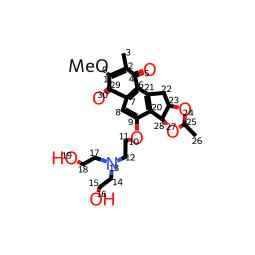 COC1=C(C)C(=O)c2c(cc(OCCN(CCO)CCO)c3c2CC2OC(C)OC32)C1=O